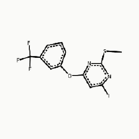 CSc1nc(I)cc(Oc2cccc(C(F)(F)F)c2)n1